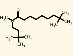 CN(CCC(C)(C)C)C(=O)CCCCCCC(C)(C)C